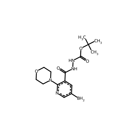 Bc1cnc(N2CCOCC2)c(C(=O)NNC(=O)OC(C)(C)C)c1